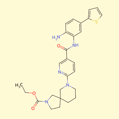 CCOC(=O)N1CCC2(CCCN(c3ccc(C(=O)Nc4cc(-c5cccs5)ccc4N)cn3)C2)C1